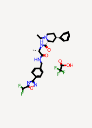 CCN1CC[C@H](c2ccccc2)C[C@@H]1C(=O)N[C@@H](C)C(=O)NCc1ccc(-c2noc(C(F)F)n2)cc1.O=C(O)C(F)(F)F